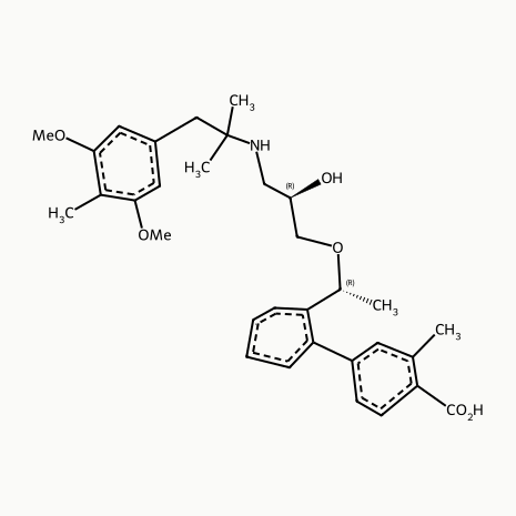 COc1cc(CC(C)(C)NC[C@@H](O)CO[C@H](C)c2ccccc2-c2ccc(C(=O)O)c(C)c2)cc(OC)c1C